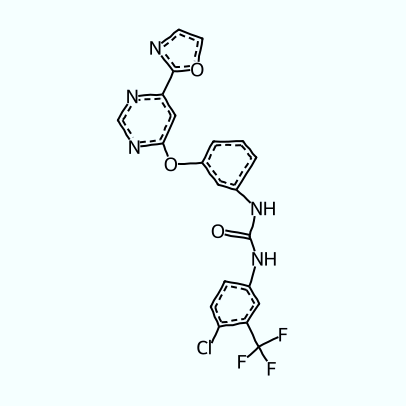 O=C(Nc1cccc(Oc2cc(-c3ncco3)ncn2)c1)Nc1ccc(Cl)c(C(F)(F)F)c1